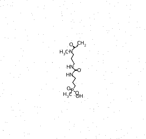 C=CC(=O)N(C)CCCNC(=O)NCCCP(C)(=O)OO